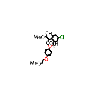 COCCOc1ccc(OCc2cc(Cl)ccc2C(C(=O)O)=C(C)OC)cc1